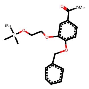 COC(=O)c1ccc(OCc2ccccc2)c(OCCO[Si](C)(C)C(C)(C)C)c1